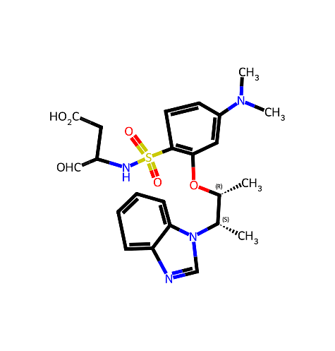 C[C@@H](Oc1cc(N(C)C)ccc1S(=O)(=O)NC(C=O)CC(=O)O)[C@H](C)n1cnc2ccccc21